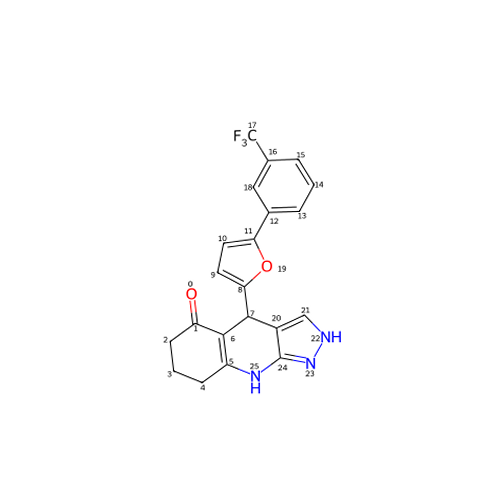 O=C1CCCC2=C1C(c1ccc(-c3cccc(C(F)(F)F)c3)o1)c1c[nH]nc1N2